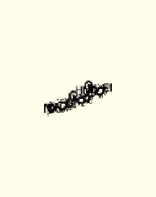 O=C(c1ccc2c(c1)C(NS(=O)(=O)Cc1cccc(Cl)c1)CC2)N1CCC2(CCN(c3ccncc3)CC2)C1